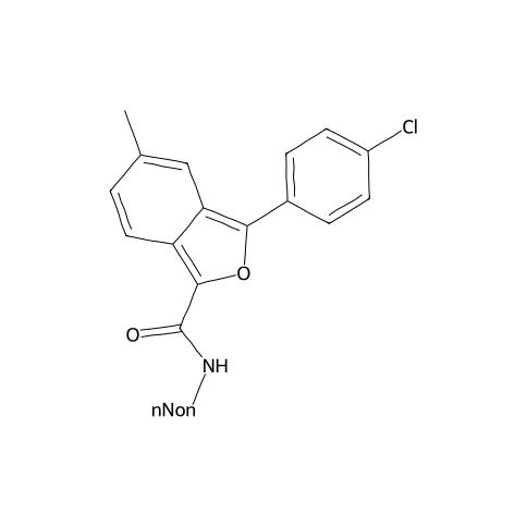 CCCCCCCCCNC(=O)c1oc(-c2ccc(Cl)cc2)c2cc(C)ccc12